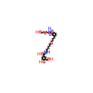 O=S(=O)(NCCOCCO)c1cccc(CCCCOCCCCCCNC[C@H](O)c2ccc(O)c(CO)c2)c1